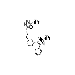 CC(C)c1nnc(CCCc2cccc(-c3nn(C(C)C)nc3-c3ccccc3)c2)o1